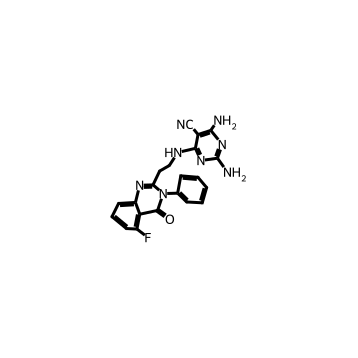 N#Cc1c(N)nc(N)nc1NCCc1nc2cccc(F)c2c(=O)n1-c1ccccc1